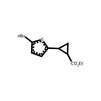 CCCCc1ccc(C2CC2C(=O)OCC)s1